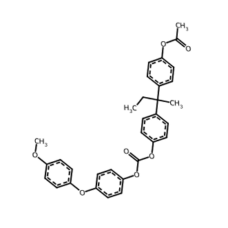 CCC(C)(c1ccc(OC(C)=O)cc1)c1ccc(OC(=O)Oc2ccc(Oc3ccc(OC)cc3)cc2)cc1